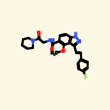 COc1c(C(=O)NCC(=O)N2CCCCC2)ccc2[nH]nc(/C=C/c3ccc(F)cc3)c12